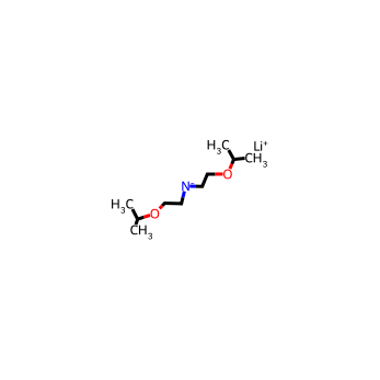 CC(C)OCC[N-]CCOC(C)C.[Li+]